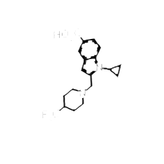 O=C(O)c1ccc2c(c1)cc(CN1CCC(C(F)(F)F)CC1)n2C1CC1